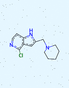 Clc1nccc2[nH]c(CN3CCCCC3)cc12